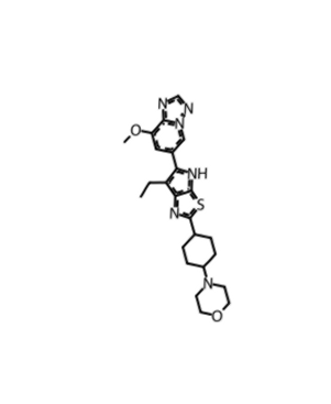 CCc1c(-c2cc(OC)c3ncnn3c2)[nH]c2sc(C3CCC(N4CCOCC4)CC3)nc12